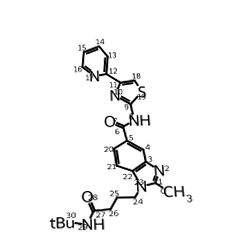 Cc1nc2cc(C(=O)Nc3nc(-c4ccccn4)cs3)ccc2n1CCCC(=O)NC(C)(C)C